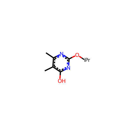 Cc1nc(OC(C)C)nc(O)c1C